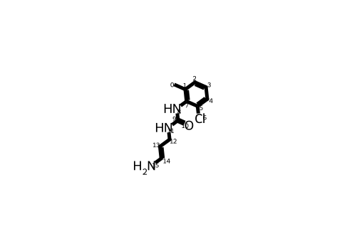 Cc1cccc(Cl)c1NC(=O)NCC=CN